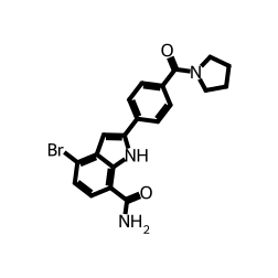 NC(=O)c1ccc(Br)c2cc(-c3ccc(C(=O)N4CCCC4)cc3)[nH]c12